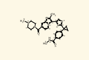 Cc1nc2cc(C(=O)N3CCN(C)CC3)ccn2c1-c1csc(C2(c3ccc(C(=O)NO)cc3)CC2)n1